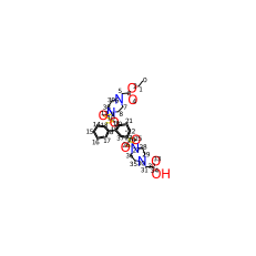 CCOC(=O)CN1CCN(S(=O)(=O)c2ccccc2-c2cc[c]c(S(=O)(=O)N3CCN(CC(=O)O)CC3)c2)CC1